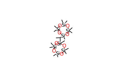 CC([Si]1(C)O[Si](C)(C)O[Si](C)(C)O[Si](C)(C)O1)[Si]1(C)O[Si](C)(C)O[Si](C)(C)O[Si](C)(C)O1